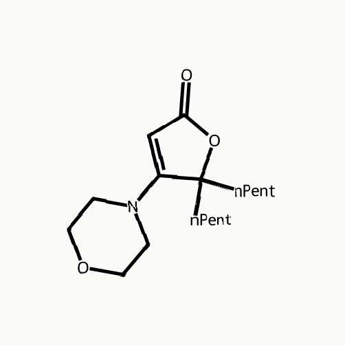 CCCCCC1(CCCCC)OC(=O)C=C1N1CCOCC1